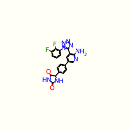 Nc1ncc(-c2ccc(C3NC(=O)NC3=O)cc2)cc1-c1nnnn1-c1cccc(F)c1F